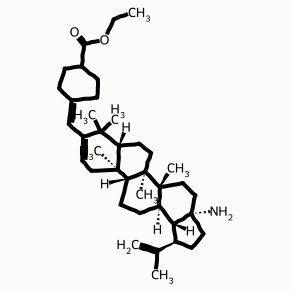 C=C(C)[C@@H]1CC[C@]2(N)CC[C@]3(C)[C@H](CC[C@@H]4[C@@]5(C)CC=C(C=C6CCC(C(=O)OCC)CC6)C(C)(C)[C@@H]5CC[C@]43C)[C@@H]12